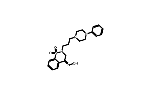 O=S1(=O)c2ccccc2C(=NO)CN1CCCN1CCN(c2ccccc2)CC1